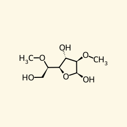 CO[C@@H]1[C@@H](O)[C@H]([C@@H](CO)OC)O[C@@H]1O